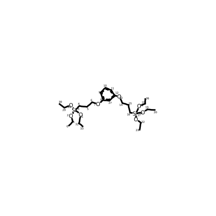 CCO[Si](CCCOc1cccc(OCCC[Si](OCC)(OCC)OCC)c1)(OCC)OCC